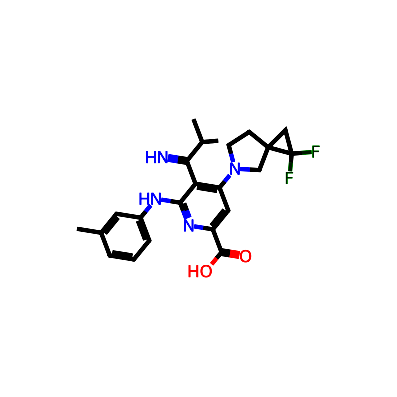 Cc1cccc(Nc2nc(C(=O)O)cc(N3CCC4(C3)CC4(F)F)c2C(=N)C(C)C)c1